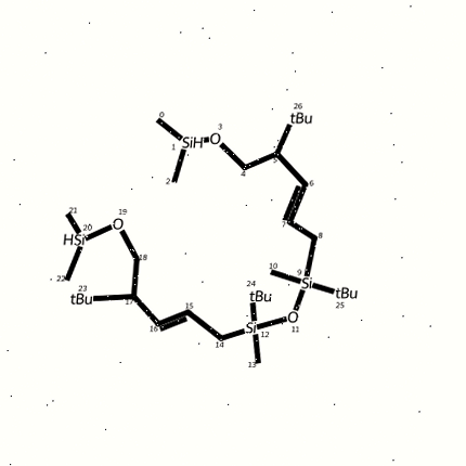 C[SiH](C)OCC(C=CC[Si](C)(O[Si](C)(CC=CC(CO[SiH](C)C)C(C)(C)C)C(C)(C)C)C(C)(C)C)C(C)(C)C